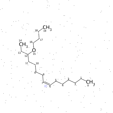 CCCCCC/C=C\CCCCC(CC)OCCCC